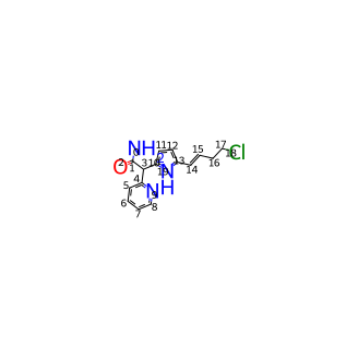 NC(=O)C(c1ccccn1)c1ccc(/C=C/CCCl)[nH]1